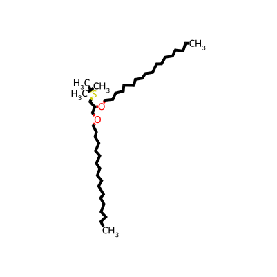 CCCCCCCCCCCCCCCCCCOCC(CSC(C)(C)C)OCCCCCCCCCCCCCCCCCC